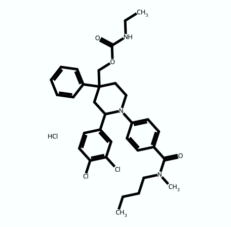 CCCCN(C)C(=O)c1ccc(N2CCC(COC(=O)NCC)(c3ccccc3)CC2c2ccc(Cl)c(Cl)c2)cc1.Cl